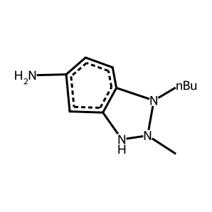 CCCCN1c2ccc(N)cc2NN1C